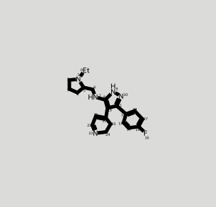 CCN1CCCC1CNc1[nH]nc(-c2ccc(F)cc2)c1C1=CC=NCC1